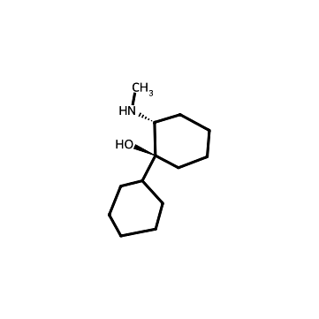 CN[C@@H]1CCCC[C@]1(O)C1CCCCC1